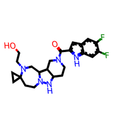 O=C(c1cc2cc(F)c(F)cc2[nH]1)N1CCC2NN3CCC4(CC4)N(CCO)CC3C2C1